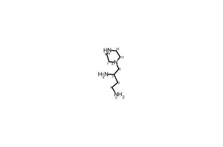 NCCC(N)CN1CCNCC1